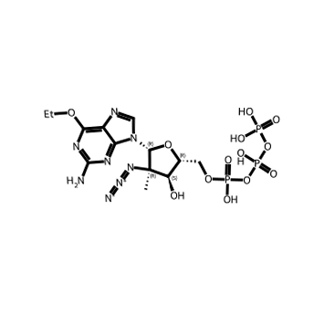 CCOc1nc(N)nc2c1ncn2[C@@H]1O[C@H](COP(=O)(O)OP(=O)(O)OP(=O)(O)O)[C@@H](O)[C@@]1(C)N=[N+]=[N-]